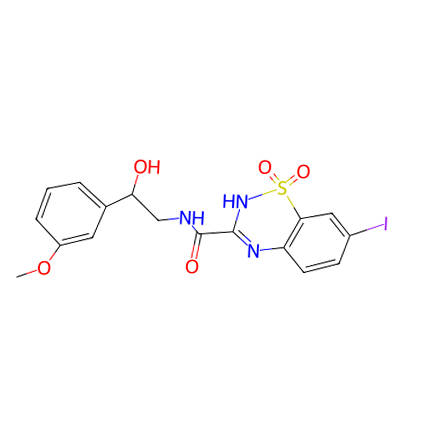 COc1cccc(C(O)CNC(=O)C2=Nc3ccc(I)cc3S(=O)(=O)N2)c1